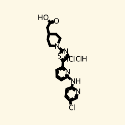 Cl.Cl.O=C(O)CC1CCN(c2ncc(-c3cccc(Nc4ccc(Cl)cn4)n3)s2)CC1